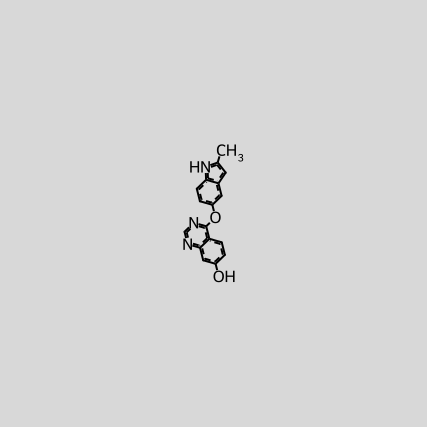 Cc1cc2cc(Oc3ncnc4cc(O)ccc34)ccc2[nH]1